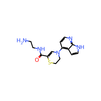 NCCNC(=O)C1=CN(c2ccnc3[nH]ccc23)CCS1